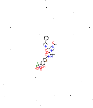 CC(=O)N1CCN(C(=O)[C@@H](NC(=O)c2cc3cc(C(F)(F)P(=O)(O)O)ccc3s2)C(C)(C)C)[C@H](C(=O)N2CC[C@@H](c3ccccc3)C2)C1